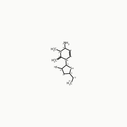 C=C1N(C)C(N)C=CN1C1SC(CC)CC1F